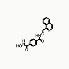 O=C(NO)c1ccc(C(=O)NOCc2nccc3ccccc23)cc1